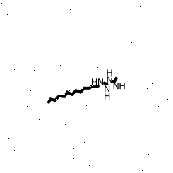 CCCCCCCCCCCCCNC(=N)NC(C)=N